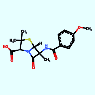 COc1ccc(C(=O)NC2(C)C(=O)N3[C@@H](C(=O)O)C(C)(C)S[C@@H]32)cc1